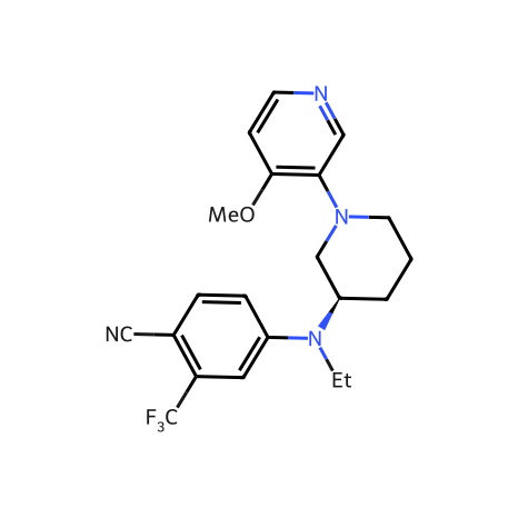 CCN(c1ccc(C#N)c(C(F)(F)F)c1)[C@@H]1CCCN(c2cnccc2OC)C1